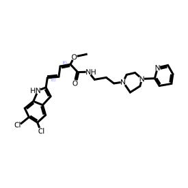 CO/C(=C/C=C/c1cc2cc(Cl)c(Cl)cc2[nH]1)C(=O)NCCCN1CCN(c2ccccn2)CC1